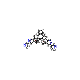 c1cncc(-c2ccc(-c3ccc4c(c3)C3(c5cc(-c6ccc(-c7cccnc7)nc6)ccc5-c5ccccc5-4)c4ccccc4-c4ccccc43)cn2)c1